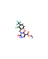 CCOC(=O)c1c[nH]c(=O)n(Cc2cccc(C(F)(F)F)c2Cl)c1=O